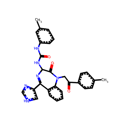 Cc1ccc(C(=O)CN2C(=O)C(NC(=O)Nc3cccc(C)c3)N=C(c3c[nH]cn3)c3ccccc32)cc1